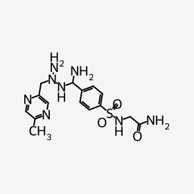 Cc1cnc(CN(N)NC(N)c2ccc(S(=O)(=O)NCC(N)=O)cc2)cn1